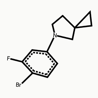 Fc1cc(N2CCC3(CC3)C2)ccc1Br